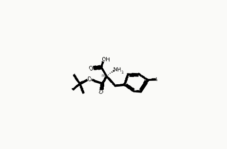 CC(C)(C)OC(=O)[C@](N)(Cc1ccc(I)cc1)C(=O)O